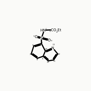 CCOC(=O)NS(=O)(=O)c1cccc2cccnc12